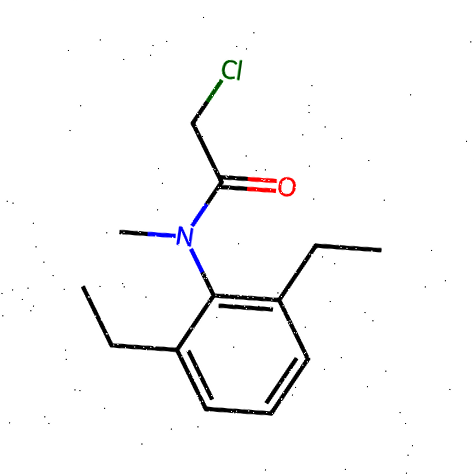 CCc1cccc(CC)c1N(C)C(=O)CCl